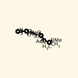 COc1ccc(C2CC(c3cc(C)c(C)c(OC)c3)=NN2C(C)=O)cc1OCCCCOc1ccc(-c2nc3ccccc3s2)cc1C